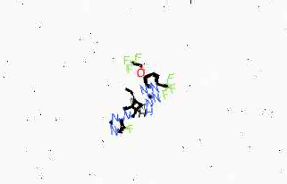 CC[C@@H]1C2CN(c3ncncc3F)C[C@H]2[C@@H]1Nc1nc2c(OCC(F)(F)F)ccc(C(F)(F)F)n2n1